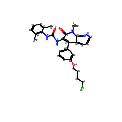 CCCCn1c(=O)c(NC(=O)Nc2c(C(C)C)cccc2C(C)C)c(-c2cccc(OCCCCCl)c2)c2cccnc21